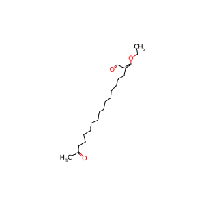 CCOC=C(C=O)CCCCCCCCCCCCCCC(C)=O